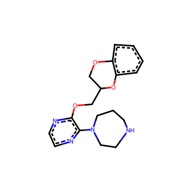 c1ccc2c(c1)OCC(COc1nccnc1N1CCCNCC1)O2